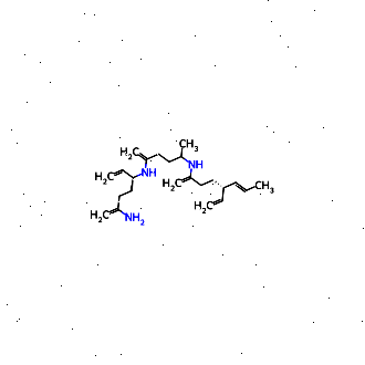 C=C[C@H](CCC(=C)N)NC(=C)CCC(C)NC(=C)CC[C@@H](C=C)/C=C/C